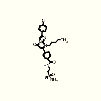 CCCCCn1c(-c2ccc(C(=O)NCCS(N)(=O)=O)cc2)cc(=O)n2cc(-c3ccc(Cl)cc3)nc12